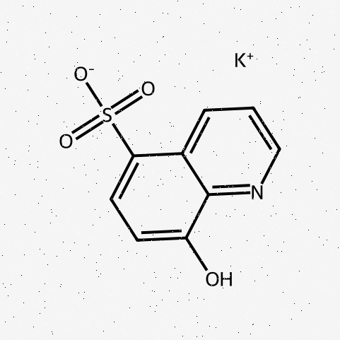 O=S(=O)([O-])c1ccc(O)c2ncccc12.[K+]